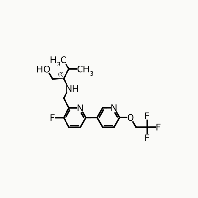 CC(C)[C@H](CO)NCc1nc(-c2ccc(OCC(F)(F)F)nc2)ccc1F